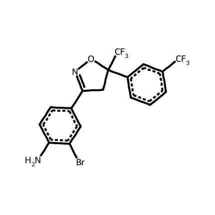 Nc1ccc(C2=NOC(c3cccc(C(F)(F)F)c3)(C(F)(F)F)C2)cc1Br